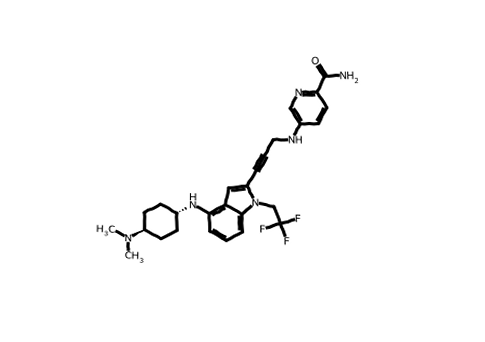 CN(C)[C@H]1CC[C@H](Nc2cccc3c2cc(C#CCNc2ccc(C(N)=O)nc2)n3CC(F)(F)F)CC1